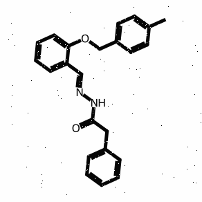 Cc1ccc(COc2ccccc2/C=N/NC(=O)Cc2ccccc2)cc1